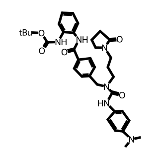 CN(C)c1ccc(NC(=O)N(CCCN2CCCC2=O)Cc2ccc(C(=O)Nc3ccccc3NC(=O)OC(C)(C)C)cc2)cc1